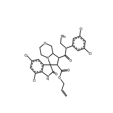 C=CCOC(=O)C1C(C(=O)N(CC(C)(C)C)c2cc(Cl)cc(Cl)c2)C2COCCN2C12C(=O)Nc1c(Cl)cc(Cl)cc12